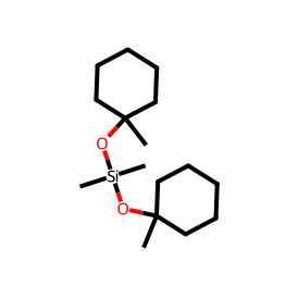 CC1(O[Si](C)(C)OC2(C)CCCCC2)CCCCC1